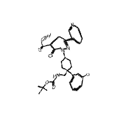 CC(C)(C)OC(=O)NC[C@]1(c2cccc(Cl)c2)CC[C@H](n2nc(-c3cccnc3)cc(C(=O)O)c2=O)CC1